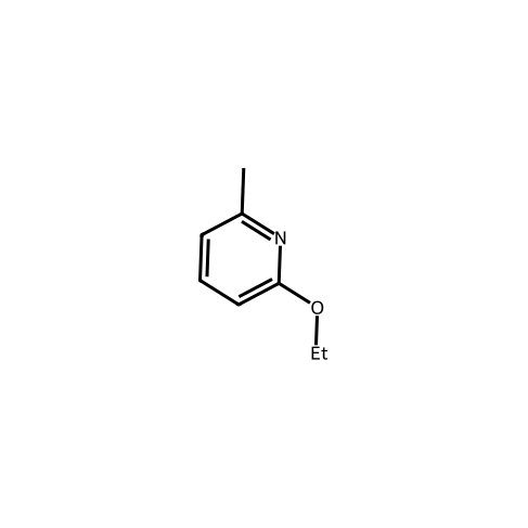 CCOc1cccc(C)n1